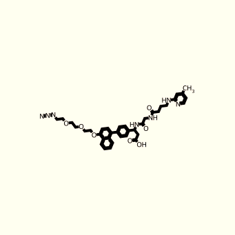 Cc1ccnc(NCCCC(=O)NCC(=O)NC(CC(=O)O)c2ccc(-c3ccc(OCCOCCOCCN=[N+]=[N-])c4ccccc34)cc2)c1